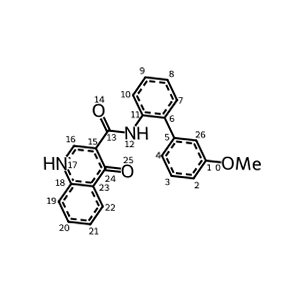 COc1cccc(-c2ccccc2NC(=O)c2c[nH]c3ccccc3c2=O)c1